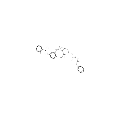 CN1C(=O)c2cc(NC(=O)c3ccccc3F)ccc2OC[C@@H]2O[C@H](CC(=O)NC3Cc4ccccc4C3)CC[C@@H]21